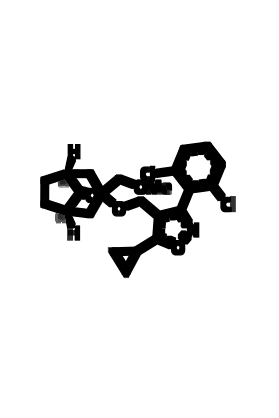 COCC1(OCc2c(-c3c(Cl)cccc3Cl)noc2C2CC2)C[C@H]2CC[C@@H](C1)C2=O